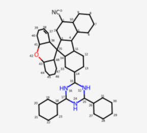 N#CC1CC2C(C3CCCCC13)C1CCC(C3NC(C4CCCCC4)NC(C4CCCCC4)N3)CC1C21C2C=CCCC2OC2CCCCC21